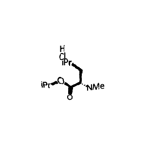 CN[C@@H](CC(C)C)C(=O)OC(C)C.Cl